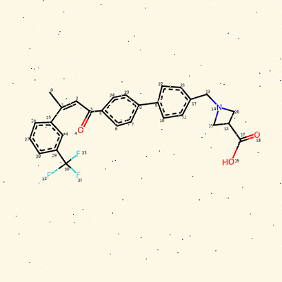 CC(=CC(=O)c1ccc(-c2ccc(CN3CC(C(=O)O)C3)cc2)cc1)c1cccc(C(F)(F)F)c1